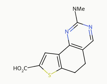 CNc1ncc2c(n1)-c1cc(C(=O)O)sc1CC2